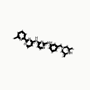 Cc1cccc(-c2nccc(Nc3ccnc(Nc4cccc(CN5CC(C)NC(C)C5)c4)n3)n2)n1